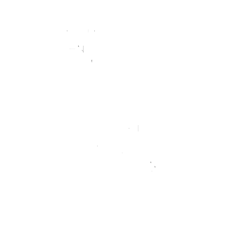 CCCCCCc1ccc(/C=C(\C)C(=O)c2c(O)cc(C(C)CC/C=C/NC(=O)OC)oc2=O)cn1